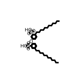 CCCCCCCCCCCCc1ccc(Oc2ccc(CCCCCCCCCCCC)c(S(=O)(=O)O)c2)c(S(=O)(=O)O)c1